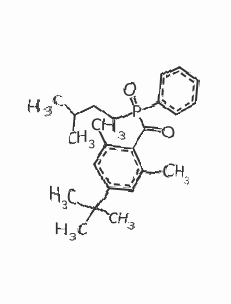 Cc1cc(C(C)(C)C)cc(C)c1C(=O)P(=O)(CCC(C)C)c1ccccc1